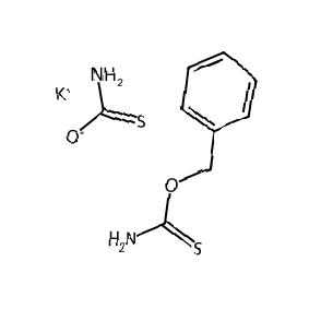 NC(=S)OCc1ccccc1.NC([O-])=S.[K+]